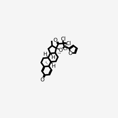 CC1C[C@H]2[C@@H]3CCC4=CC(=O)C=C[C@]4(C)[C@H]3CC[C@]2(C)[C@@]1(OC(=O)c1ccco1)C(=O)C(Cl)(Cl)Cl